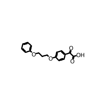 O=C(O)C(=O)c1ccc(OCCCOc2ccccc2)cc1